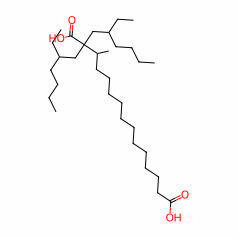 CCCCC(CC)CC(CC(CC)CCCC)(C(=O)O)C(C)CCCCCCCCCCCC(=O)O